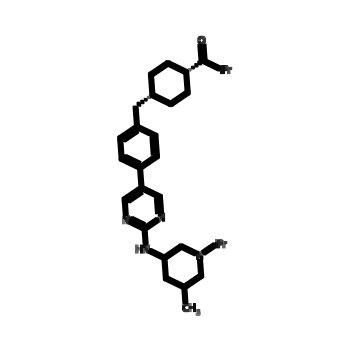 CC1CC(Nc2ncc(-c3ccc(C[C@H]4CC[C@@H](C(=O)C(C)C)CC4)cc3)cn2)CN(C(C)C)C1